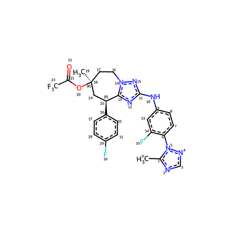 Cc1ncnn1-c1ccc(Nc2nc3n(n2)CC[C@](C)(OC(=O)C(F)(F)F)C[C@@H]3c2ccc(F)cc2)cc1F